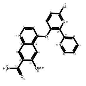 CCc1ccc(Oc2ccnc3cc(C(N)=O)c(OC)cc23)c(-c2ccccn2)n1